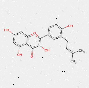 CC(C)=CCc1cc(-c2oc3cc(O)cc(O)c3c(=O)c2O)ccc1O